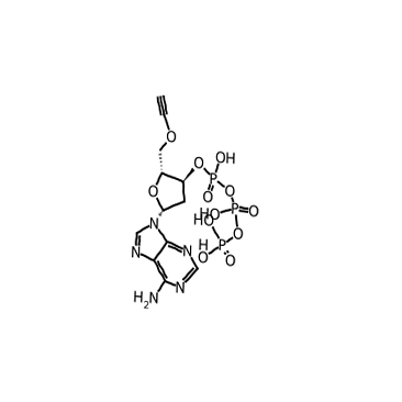 C#COC[C@H]1O[C@@H](n2cnc3c(N)ncnc32)C[C@@H]1OP(=O)(O)OP(=O)(O)OP(=O)(O)O